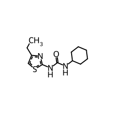 CCc1csc(NC(=O)NC2CCCCC2)n1